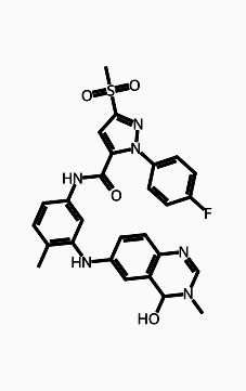 Cc1ccc(NC(=O)c2cc(S(C)(=O)=O)nn2-c2ccc(F)cc2)cc1Nc1ccc2c(c1)C(O)N(C)C=N2